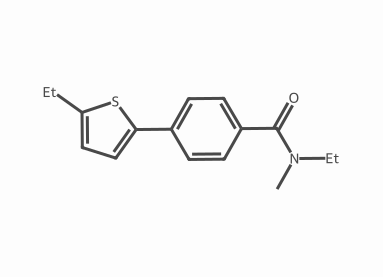 CCc1ccc(-c2ccc(C(=O)N(C)CC)cc2)s1